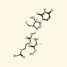 CC(C)OC(=O)[C@@H](C)N[P@@](=O)(OCCSC(=O)C(C)C)OC[C@H]1O[C@@H](n2ccc(=O)[nH]c2=O)[C@H](O)[C@@H]1CF